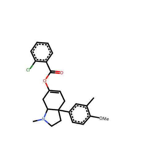 COc1ccc(C23CC=C(OC(=O)c4ccccc4Cl)CC2N(C)CC3)cc1C